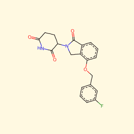 O=C1CCC(N2Cc3c(OCc4cccc(F)c4)cccc3C2=O)C(=O)N1